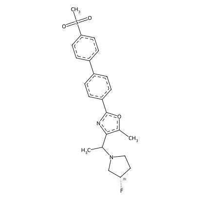 Cc1oc(-c2ccc(-c3ccc(S(C)(=O)=O)cc3)cc2)nc1C(C)N1CC[C@H](F)C1